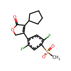 CS(=O)(=O)c1cc(F)c(C2=C(C3CCCC3)C(=O)OC2)cc1F